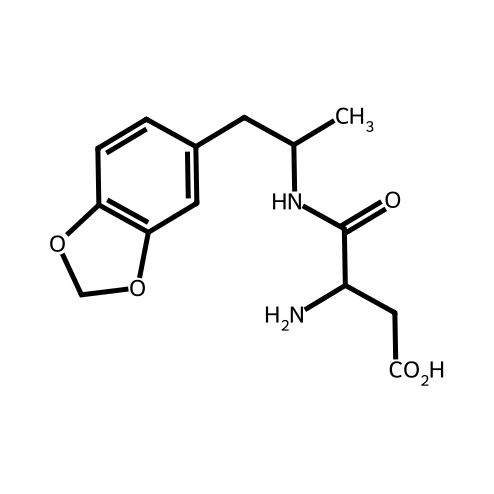 CC(Cc1ccc2c(c1)OCO2)NC(=O)C(N)CC(=O)O